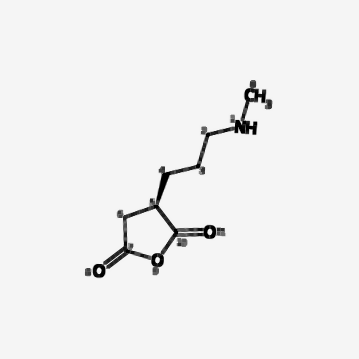 CNCCC[C@@H]1CC(=O)OC1=O